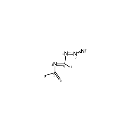 C=C(C)/N=C(\C)N=[N+]=[N-]